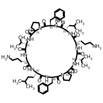 CC(C)CC[C@@H]1NC(=O)[C@H](CCCN)NC(=O)[C@H](C(C)C)NC(=O)[C@@H]2CCCN2C(=O)[C@@H](Cc2ccccc2)N(N)C(=O)[C@H](CC(C)C)NC(=O)[C@H](CCCN)NC(=O)[C@H](C(C)C)NC(=O)[C@@H]2CCCN2C(=O)[C@@H](Cc2ccccc2)NC1=O